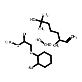 C=CC(C)CCCC(C)(C)O.CCC(COC1CCCCC1C(C)(C)C)OC=O.O=CO